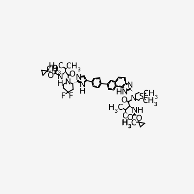 CC(C)[C@H](NC(=O)OC1(C)CC1)C(=O)N1CCC(F)(F)C[C@H]1c1ncc(-c2ccc(-c3ccc4c(ccc5nc([C@@H]6C[Si](C)(C)CN6C(=O)[C@@H](NC(=O)OC6(C)CC6)C(C)C)[nH]c54)c3)cc2)[nH]1